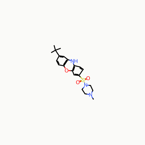 CN1CCN(S(=O)(=O)c2ccc3c(c2)Oc2ccc(C(C)(C)C)cc2N3)CC1